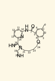 Cc1ccc2c(c1)C(=O)Nc1cccc(n1)C(=N)N(C=N)CCCCO2